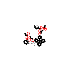 C=CC(=O)OCC(COc1ccc(C2(c3ccc(OCC(COC(=O)C=C)OC(=O)C4CC=CCC4C(=O)O)cc3)c3ccccc3-c3ccccc32)cc1)OC(=O)C(=C)/C=C\CC